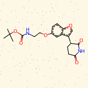 CC(C)(C)OC(=O)NCCOc1ccc2occ(C3CCC(=O)NC3=O)c2c1